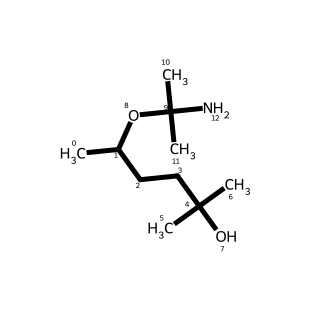 CC(CCC(C)(C)O)OC(C)(C)N